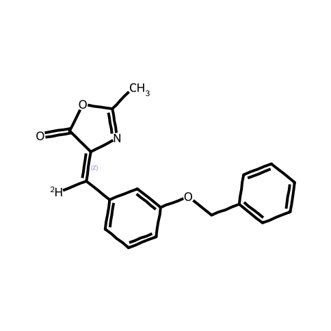 [2H]/C(=C1/N=C(C)OC1=O)c1cccc(OCc2ccccc2)c1